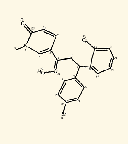 Cn1cc(C(CC(c2ccc(Br)cc2)c2ccccc2Cl)=NO)ccc1=O